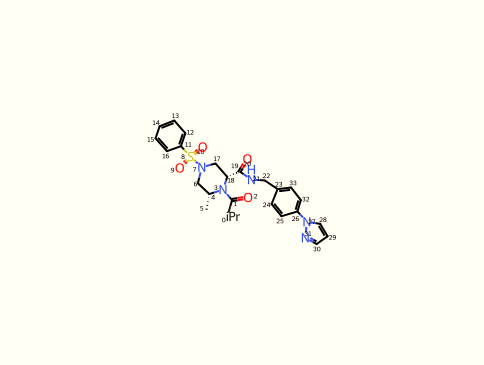 CC(C)C(=O)N1[C@H](C)CN(S(=O)(=O)c2ccccc2)C[C@@H]1C(=O)NCc1ccc(-n2cccn2)cc1